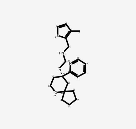 Cc1ccsc1CNCC[C@@]1(c2ccccn2)CCOC2(CCCC2)C1